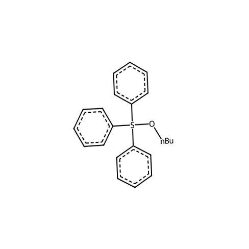 CCCCOS(c1ccccc1)(c1ccccc1)c1ccccc1